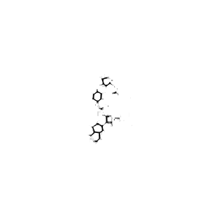 CC(=O)Nc1cc(Oc2ccc(NC(=O)Nc3cn(C(C)C)nc3-c3ccc4cnccc4c3)cc2)ccn1